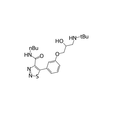 CCCCNC(=O)c1nnsc1-c1cccc(OCC(O)CNC(C)(C)C)c1